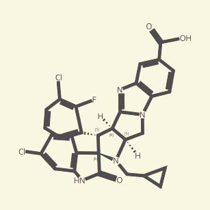 O=C(O)c1ccc2c(c1)nc1n2C[C@@H]2[C@H]1[C@@H](c1cccc(Cl)c1F)[C@@]1(C(=O)Nc3cc(Cl)ccc31)N2CC1CC1